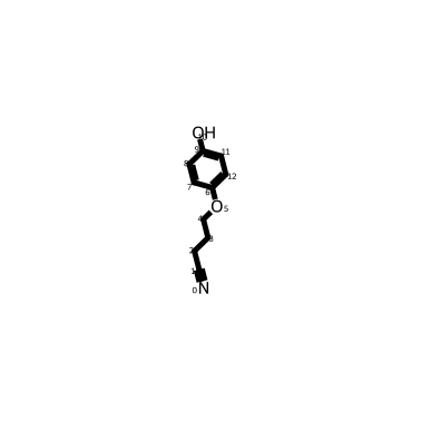 N#CCCCOc1ccc(O)cc1